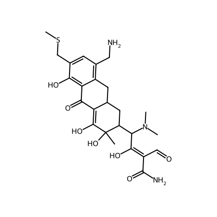 CSCc1cc(CN)c2c(c1O)C(=O)C1=C(O)C(C)(O)C(C(/C(O)=C(\C=O)C(N)=O)N(C)C)CC1C2